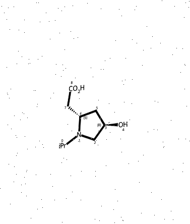 CC(C)N1C[C@H](O)C[C@H]1CC(=O)O